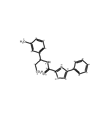 Cc1cccc(C(CC(=O)O)NC(=O)c2nc(-c3ccccc3)cs2)c1